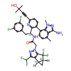 Cc1ccc(-c2ccc(C#CC(C)(C)O)nc2[C@H](Cc2cc(F)cc(F)c2)NC(=O)Cn2nc(C(F)F)c3c2C(F)(F)[C@@H]2C[C@H]32)c2c1c(N)nn2C